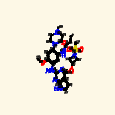 C=CC(=O)Nc1cc(Nc2nc(OC3CN(S(C)(=O)=O)C3)c3cc[nH]c3n2)c(OC)cc1N1CCN(C)CC1